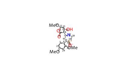 COc1ccc(C2CC(c3c(O)cc(OC)oc3=O)=NCC[S+]2[O-])c(OC)c1